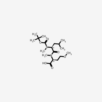 COCC[C@@H](C(=O)O)N(C)C(=O)[C@H](CC(C)C)N(C)C(=O)OC(C)(C)C